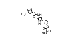 Cc1cn(CC(=O)Nc2cc([C@H]3CC[C@@H](OC(=O)NC(C)(C)C)C3)[nH]n2)nn1